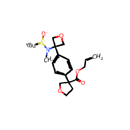 C=CCOC(=O)C1(c2ccc(C3(N(C)[S+]([O-])C(C)(C)C)COC3)cc2)CCOC1